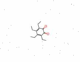 CCC1=C(CC)C(CC)=C(CC)C(=O)C1=O